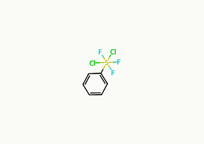 FS(F)(F)(Cl)(Cl)c1ccccc1